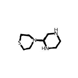 [CH]1NCCNC1N1CCSCC1